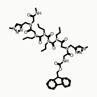 CCCN(CC(=O)N(CC(=O)NC)Cc1cn(C)nn1)C(=O)N(CCC)C(=O)N(CCC)C(=O)N(CCC)C(=O)CN(Cc1cn(C)nn1)C(=O)CNC(=O)OCC1c2ccccc2-c2ccccc21